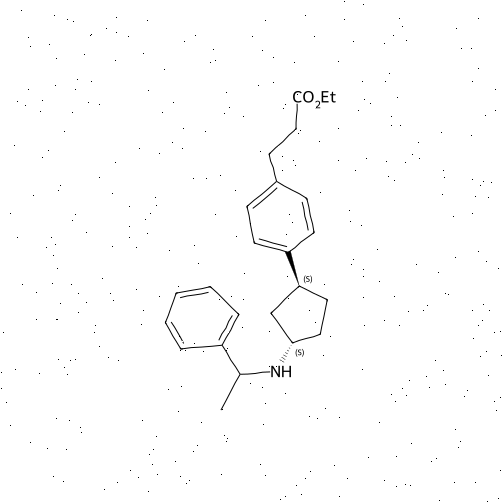 CCOC(=O)CCc1ccc([C@H]2CC[C@H](NC(C)c3ccccc3)C2)cc1